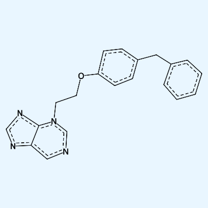 c1ccc(Cc2ccc(OCCn3cncc4ncnc3-4)cc2)cc1